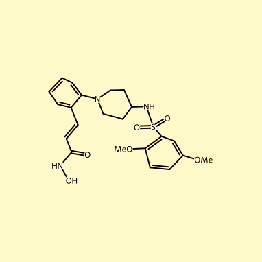 COc1ccc(OC)c(S(=O)(=O)NC2CCN(c3ccccc3/C=C/C(=O)NO)CC2)c1